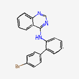 Brc1ccc(-c2c[c]ccc2Nc2ncnc3ccccc23)cc1